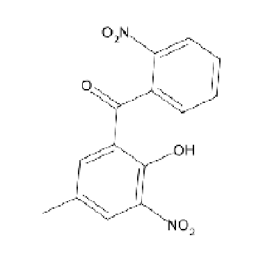 Cc1cc(C(=O)c2ccccc2[N+](=O)[O-])c(O)c([N+](=O)[O-])c1